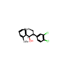 CNC[C@@H](c1ccc(Cl)c(Cl)c1)[C@@H](O)c1ccccc1SC